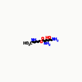 NCC(O)CC[C@H](N)C(=O)OCCCCC(N)C(=O)O